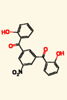 O=C(c1cc(C(=O)c2ccccc2O)cc([N+](=O)[O-])c1)c1ccccc1O